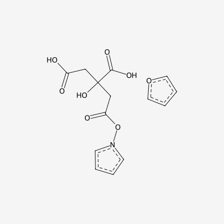 O=C(O)CC(O)(CC(=O)On1cccc1)C(=O)O.c1ccoc1